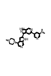 CN1CCN(c2cncc3[nH]c(-c4n[nH]c5cnc(-c6cncc(N(C)C)c6)cc45)cc23)CC1